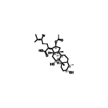 CC(=O)O[C@H]1C[C@@]2(C)[C@H](C[C@@H](O)[C@@H]3[C@@]4(C)CC[C@@H](O)[C@@H](C)C4CC[C@@]32C)C1=C(CCC(Br)=C(C)C)C(=O)O